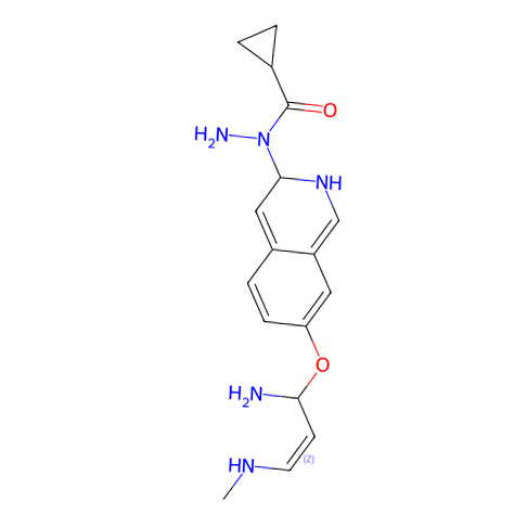 CN/C=C\C(N)Oc1ccc2c(c1)=CNC(N(N)C(=O)C1CC1)C=2